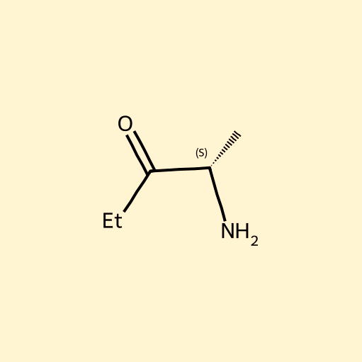 CCC(=O)[C@H](C)N